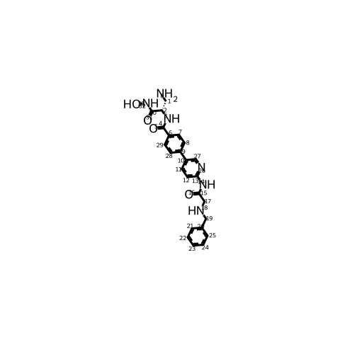 NC[C@H](NC(=O)c1ccc(-c2ccc(NC(=O)CNCc3ccccc3)nc2)cc1)C(=O)NO